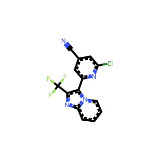 N#Cc1cc(Cl)nc(-c2c(C(F)(F)F)nc3ccccn23)c1